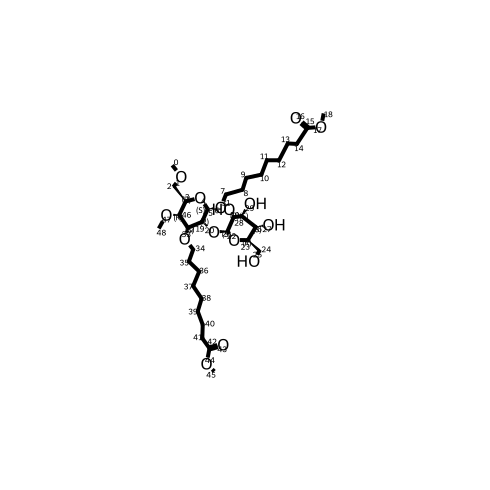 COC[C@H]1O[C@H](OCCCCCCCCC(=O)OC)[C@H](O[C@@H]2O[C@H](CO)[C@@H](O)[C@H](O)[C@H]2O)[C@@H](OCCCCCCCCC(=O)OC)[C@@H]1OC